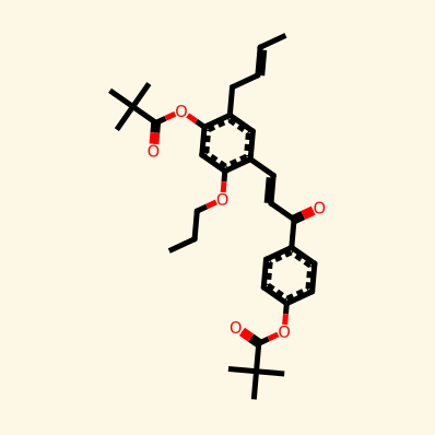 CC=CCc1cc(C=CC(=O)c2ccc(OC(=O)C(C)(C)C)cc2)c(OCCC)cc1OC(=O)C(C)(C)C